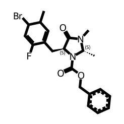 CC1C=C(C[C@H]2C(=O)N(C)[C@H](C)N2C(=O)OCc2ccccc2)C(F)=CC1Br